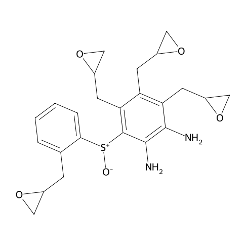 Nc1c(N)c([S+]([O-])c2ccccc2CC2CO2)c(CC2CO2)c(CC2CO2)c1CC1CO1